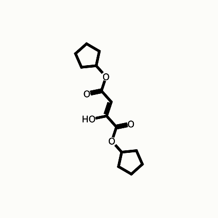 O=C(/C=C(\O)C(=O)OC1CCCC1)OC1CCCC1